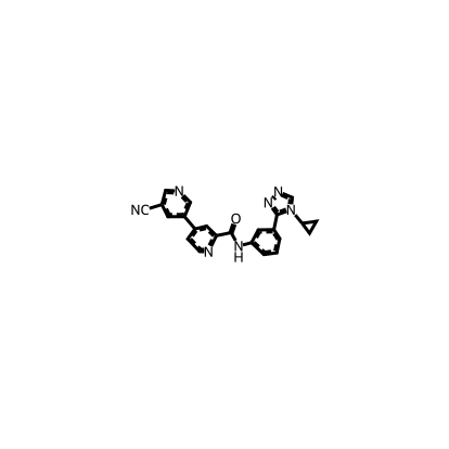 N#Cc1cncc(-c2ccnc(C(=O)Nc3cccc(-c4nncn4C4CC4)c3)c2)c1